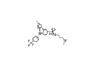 CN(C)CCCNC(=O)c1ccc2c(c1)c1cn(C)nc1n2-c1ccc(C(F)(F)F)cc1